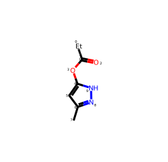 CCC(=O)Oc1cc(C)n[nH]1